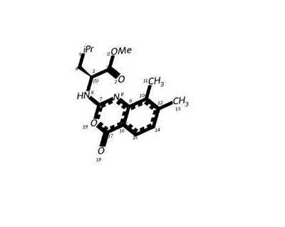 COC(=O)[C@H](CC(C)C)Nc1nc2c(C)c(C)ccc2c(=O)o1